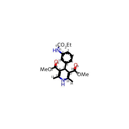 CCOC(=O)Nc1cccc(C2C(C(=O)OC)=C(C)NC(C)=C2C(=O)OC)c1